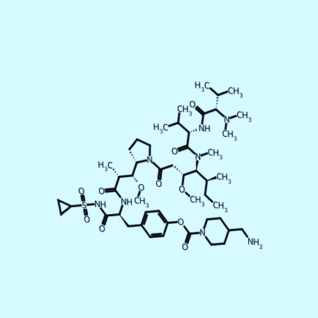 CC[C@H](C)[C@@H]([C@@H](CC(=O)N1CCC[C@H]1[C@H](OC)[C@@H](C)C(=O)N[C@@H](Cc1ccc(OC(=O)N2CCC(CN)CC2)cc1)C(=O)NS(=O)(=O)C1CC1)OC)N(C)C(=O)[C@@H](NC(=O)[C@H](C(C)C)N(C)C)C(C)C